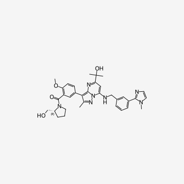 COc1ccc(-c2c(C)nn3c(NCc4cccc(-c5nccn5C)c4)cc(C(C)(C)O)nc23)cc1C(=O)N1CCC[C@@H]1CO